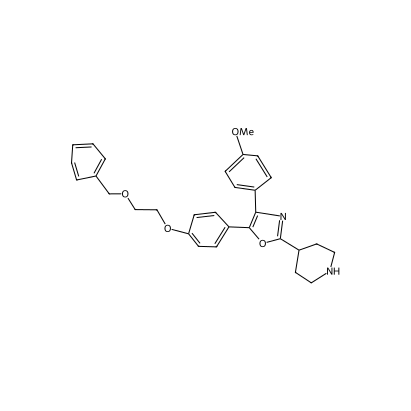 COc1ccc(-c2nc(C3CCNCC3)oc2-c2ccc(OCCOCc3ccccc3)cc2)cc1